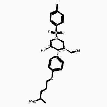 COC(C)CCCOc1ccc([C@H]2[C@H](CO)CN(S(=O)(=O)c3ccc(C)cc3)C[C@@H]2O)cc1